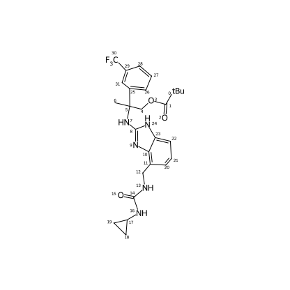 CC(C)(C)C(=O)OCC(C)(Nc1nc2c(CNC(=O)NC3CC3)cccc2[nH]1)c1cccc(C(F)(F)F)c1